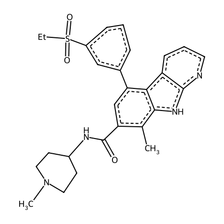 CCS(=O)(=O)c1cccc(-c2cc(C(=O)NC3CCN(C)CC3)c(C)c3[nH]c4ncccc4c23)c1